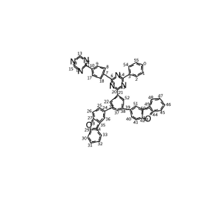 c1ccc(-c2nc(-c3ccc(-c4ncncn4)cc3)nc(-c3cc(-c4ccc5oc6ccccc6c5c4)cc(-c4ccc5oc6ccccc6c5c4)c3)n2)cc1